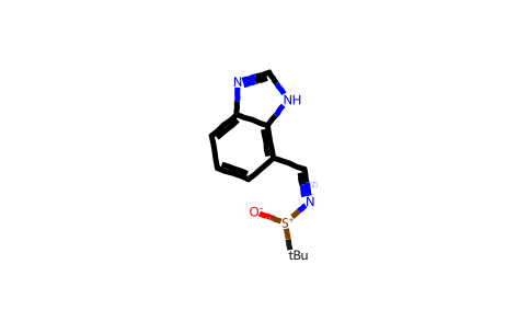 CC(C)(C)[S+]([O-])/N=C\c1cccc2nc[nH]c12